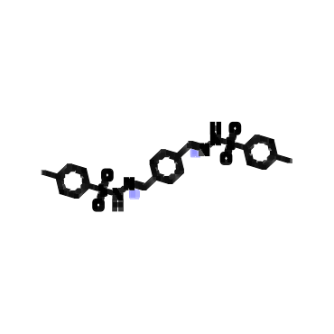 Cc1ccc(S(=O)(=O)N/N=C/c2ccc(/C=N/NS(=O)(=O)c3ccc(C)cc3)cc2)cc1